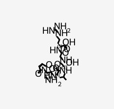 CC(C)C[C@H](NC(=O)[C@H](CN)N1C(=O)C=CC1=O)C(=O)N[C@@H](CO)C(=O)NCC(=O)N[C@@H](CCCNC(=N)N)C(=O)O